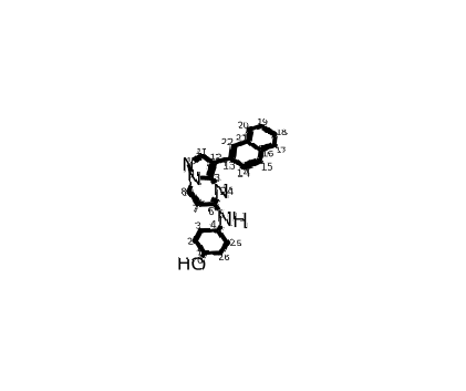 OC1CCC(Nc2ccn3ncc(-c4ccc5ccccc5c4)c3n2)CC1